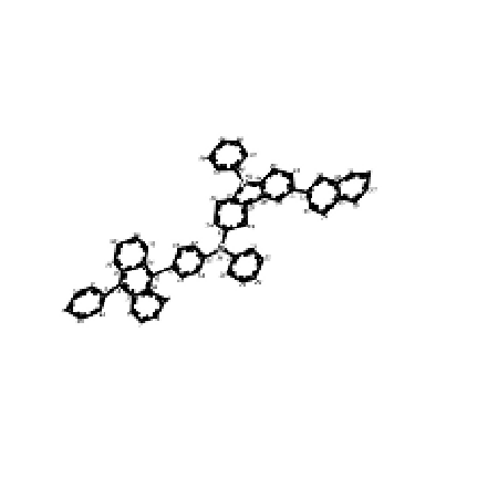 c1ccc(-c2c3ccccc3c(-c3ccc(N(c4ccccc4)c4ccc5c(c4)c4cc(-c6ccc7ccccc7c6)ccc4n5-c4ccccc4)cc3)c3ccccc23)cc1